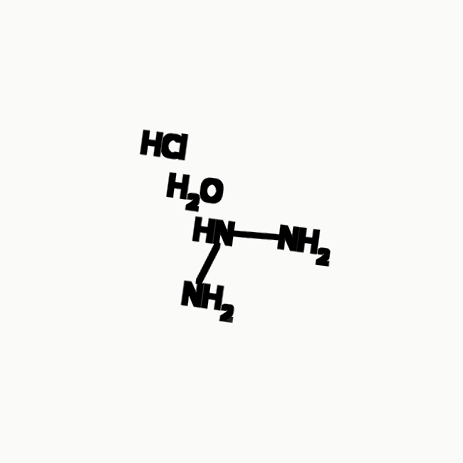 Cl.NNN.O